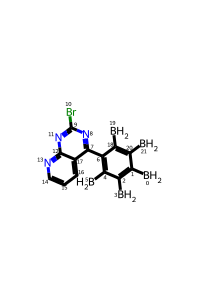 Bc1c(B)c(B)c(-c2nc(Br)nc3ncccc23)c(B)c1B